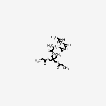 CC1CN1.CC1CN1.CC1CN1.CCC(=O)OCC(CC)(COC(=O)CC)COC(=O)CC